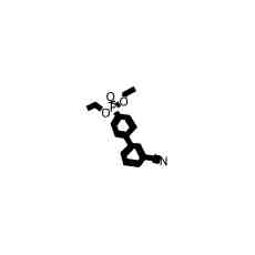 CCOP(=O)(OCC)c1ccc(-c2cc[c]c(C#N)c2)cc1